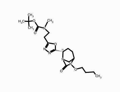 CCCCON1C(=O)N2CC1CC[C@H]2c1nnc(CCN(C)C(=O)OC(C)(C)C)o1